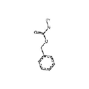 CC(C)[N]C(=O)OCc1ccccc1